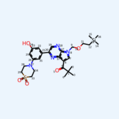 CC(C)(C)C(=O)c1cn(COCC[Si](C)(C)C)c2ncc(-c3cc(O)cc(N4CCS(=O)(=O)CC4)c3)nc12